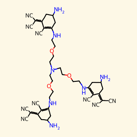 N#CC(C#N)=C1CC(N)CC(NCCOCCN(CCOCCNC2=C(C#N)C(=C(C#N)C#N)CC(N)C2)CCOCCNC2=C(C#N)C(=C(C#N)C#N)CC(N)C2)=C1C#N